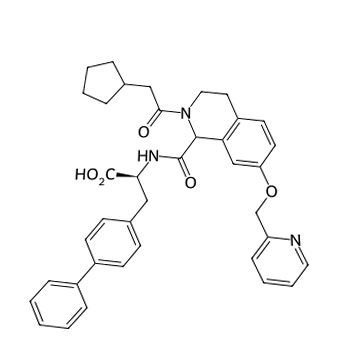 O=C(N[C@@H](Cc1ccc(-c2ccccc2)cc1)C(=O)O)C1c2cc(OCc3ccccn3)ccc2CCN1C(=O)CC1CCCC1